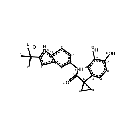 CC(C)(C=O)c1cc2cc(NC(=O)C3(c4ccc(O)c(O)c4)CC3)ccc2[nH]1